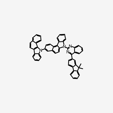 CC1(C)c2ccccc2-c2ccc(-c3nc(-n4c5ccccc5c5c6ccc(-n7c8ccccc8c8ccc9ccccc9c87)cc6ccc54)nc4ccccc34)cc21